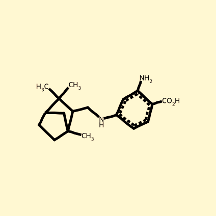 CC12CCC(C1)C(C)(C)C2CNc1ccc(C(=O)O)c(N)c1